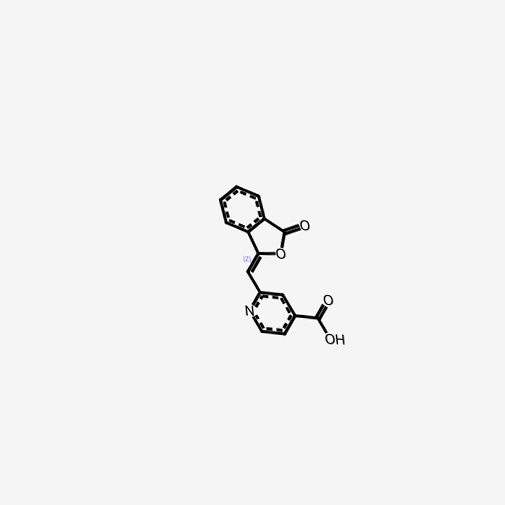 O=C(O)c1ccnc(/C=C2\OC(=O)c3ccccc32)c1